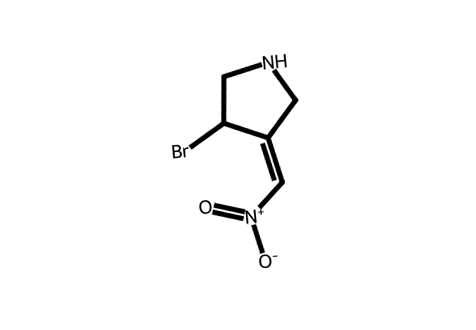 O=[N+]([O-])C=C1CNCC1Br